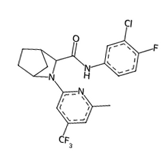 Cc1cc(C(F)(F)F)cc(N2C3CCC(C3)C2C(=O)Nc2ccc(F)c(Cl)c2)n1